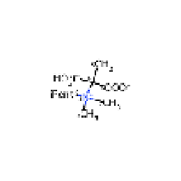 CCCC(C)[N+](C)(C)C(C)(C(=O)[O-])C(=O)O